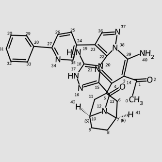 CC(=O)c1c(C2C[C@H]3CC[C@@H](C2)N3C(=O)c2n[nH]c(N)n2)nc2c(-c3ccc(-c4ccccc4)nc3)cnn2c1N